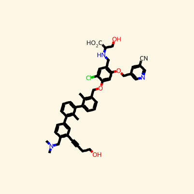 Cc1c(COc2cc(OCc3cncc(C#N)c3)c(CNC(CO)C(=O)O)cc2Cl)cccc1-c1cccc(-c2ccc(CN(C)C)c(C#CCCO)c2)c1C